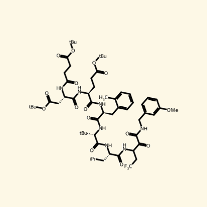 COc1cccc(CNC(=O)C(=O)C(CC(F)(F)F)NC(=O)[C@H](CC(C)C)NC(=O)[C@@H](NC(=O)[C@H](Cc2ccccc2C)NC(=O)[C@H](CCC(=O)OC(C)(C)C)NC(=O)[C@H](CC(=O)OC(C)(C)C)NC(=O)CCC(=O)OC(C)(C)C)C(C)(C)C)c1